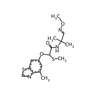 CON=CC(C)(C)NC(=O)C(Oc1cc(C)c2ncsc2c1)SC